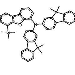 CC1(C)c2ccccc2-c2ccc(N(c3ccc4c(c3)C(C)(C)c3ccccc3-4)c3cccc4c3oc3c([Si](C)(C)C)cccc34)cc21